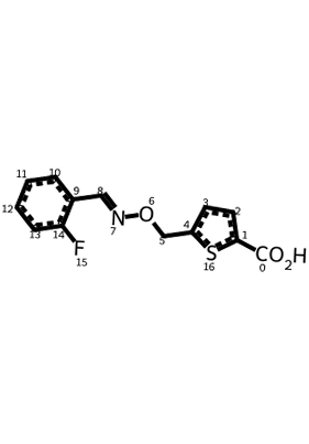 O=C(O)c1ccc(CON=Cc2ccccc2F)s1